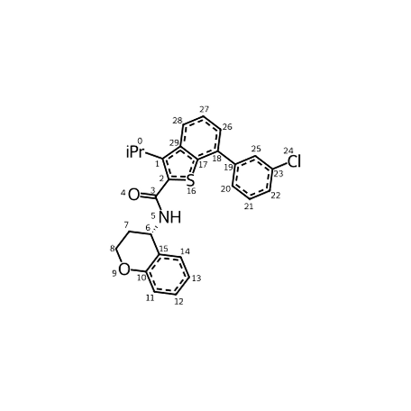 CC(C)c1c(C(=O)N[C@H]2CCOc3ccccc32)sc2c(-c3cccc(Cl)c3)cccc12